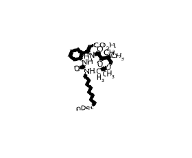 CCCCCCCCCCCCCCCCCCNC(=O)NC1CCCCC1C(CC(=O)O)NC(=O)C1OC(C)(C)OCC1(C)C